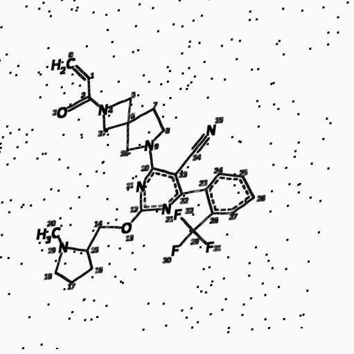 C=CC(=O)N1CC2(CCN(c3nc(OCC4CCCN4C)nc(-c4ccccc4C(F)(F)F)c3C#N)C2)C1